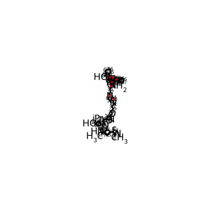 Cc1ncsc1-c1ccc([C@H](C)NC(=O)[C@@H]2C[C@@H](O)CN2C(=O)[C@H](c2cc(OCCCCN3CCN(CCCCOc4cc(N5C6CCC5CN(c5cc(-c7ccccc7O)nnc5N)C6)ccn4)CC3)no2)C(C)C)cc1